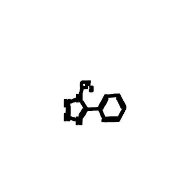 FC(F)(F)n1nnnc1-c1[c]cccc1